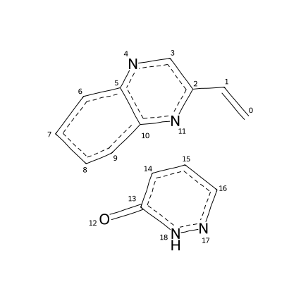 C=Cc1cnc2ccccc2n1.O=c1cccn[nH]1